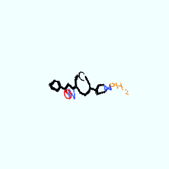 PN1CCC(C2CCCCCC(C3=NOC(c4ccccc4)C3)CCC2)CC1